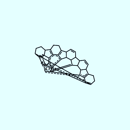 CN1CC23c4c5c6c7c8c4=C4CCC=8C8C=CC9C%10C=CC%11C%12=c%13c%14c(c-5c5c%13=C(CC%12)C(CCC42)C53C1)C6=C(C9C78)C%10C%14%11